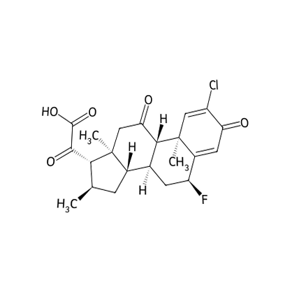 C[C@@H]1C[C@H]2[C@@H]3C[C@H](F)C4=CC(=O)C(Cl)=C[C@]4(C)[C@H]3C(=O)C[C@]2(C)[C@H]1C(=O)C(=O)O